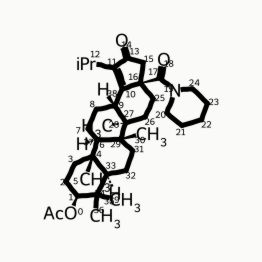 CC(=O)O[C@H]1CC[C@]2(C)[C@H]3CC[C@@H]4C5=C(C(C)C)C(=O)C[C@]5(C(=O)N5CCCCC5)CC[C@@]4(C)[C@]3(C)CC[C@H]2C1(C)C